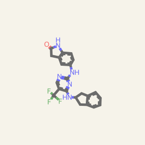 O=C1Cc2cc(Nc3ncc(C(F)(F)F)c(NC4Cc5ccccc5C4)n3)ccc2N1